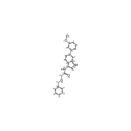 CCOc1cccc(-c2ccc3c(NC(=O)COCc4ccccc4)n[nH]c3c2)c1